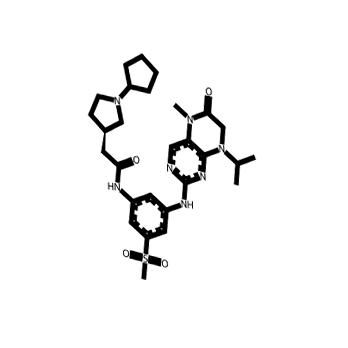 CC(C)N1CC(=O)N(C)c2cnc(Nc3cc(NC(=O)C[C@H]4CCN(C5CCCC5)C4)cc(S(C)(=O)=O)c3)nc21